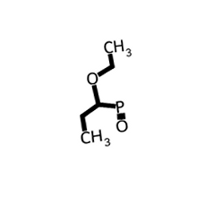 CCOC(CC)P=O